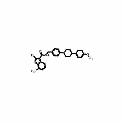 CCc1nc2c(C)cccn2c1C(=O)NCc1ccc(N2CCC(C3=CC=C(OC(F)(F)F)CC3)CC2)cc1